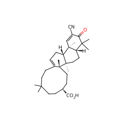 CC1(C)CCC2=CC[C@@H]3[C@@]4(C)C=C(C#N)C(=O)C(C)(C)[C@@H]4CC[C@@]3(C)[C@]2(C)CC[C@@H](C(=O)O)CC1